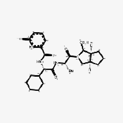 CC(C)(C)[C@H](NC(=O)[C@@H](NC(=O)c1cccc(=O)[nH]1)C1CCCCC1)C(=O)N1C[C@@H]2CCC[C@@H]2C1C(=O)O